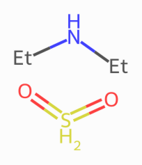 CCNCC.O=[SH2]=O